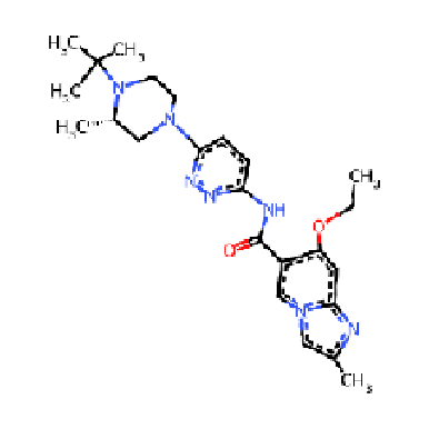 CCOc1cc2nc(C)cn2cc1C(=O)Nc1ccc(N2CCN(C(C)(C)C)[C@@H](C)C2)nn1